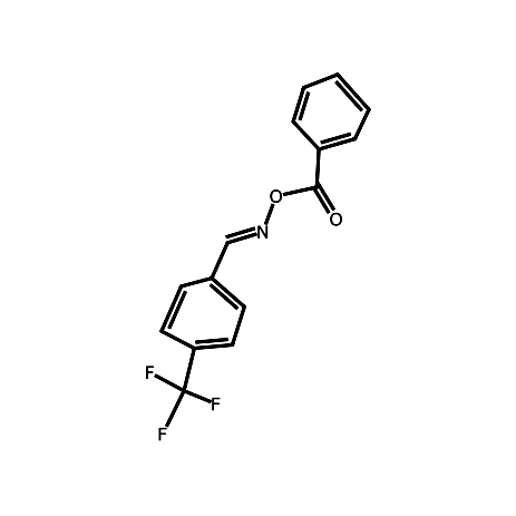 O=C(O/N=C/c1ccc(C(F)(F)F)cc1)c1ccccc1